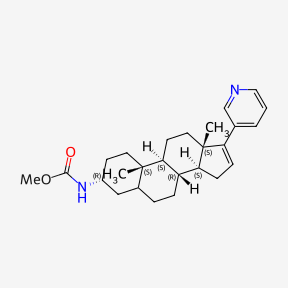 COC(=O)N[C@@H]1CC[C@@]2(C)C(CC[C@@H]3[C@@H]2CC[C@]2(C)C(c4cccnc4)=CC[C@@H]32)C1